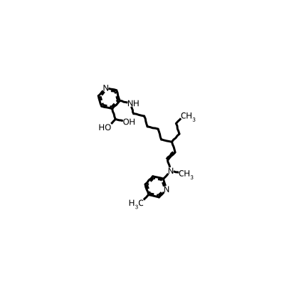 CCCC(/C=C/N(C)c1ccc(C)cn1)CCCCCNc1cnccc1C(O)O